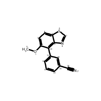 COc1ccc2scnc2c1-c1cccc(C#N)c1